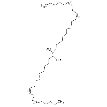 CCCCC/C=C\C/C=C\CCCCCCCCC(O)C(O)CCCCCCCC/C=C\C/C=C\CCCCC